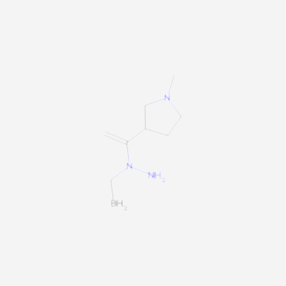 BCN(N)C(=C)C1CCN(C)C1